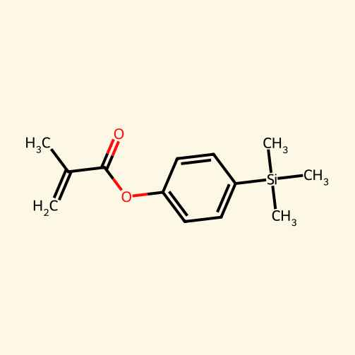 C=C(C)C(=O)Oc1ccc([Si](C)(C)C)cc1